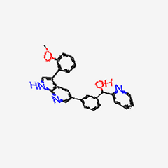 COc1ccccc1-c1c[nH]c2ncc(-c3cccc(C(O)c4ccccn4)c3)cc12